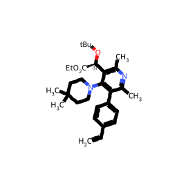 C=Cc1ccc(-c2c(C)nc(C)c([C@H](OC(C)(C)C)C(=O)OCC)c2N2CCC(C)(C)CC2)cc1